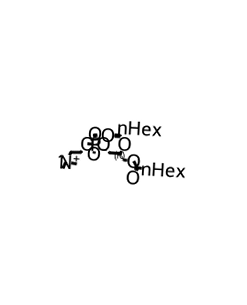 CCCCCCC(=O)OC[C@H](COP(=O)([O-])OCC[N+](C)(C)C)OC(=O)CCCCCC